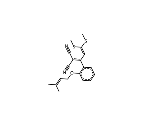 CSC(=CC(=C(C#N)C#N)c1ccccc1OCC=C(C)C)SC